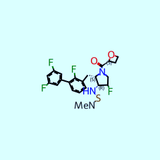 CNSN[C@H]1C(F)CN(C(=O)[C@@H]2CCO2)[C@H]1Cc1cccc(-c2cc(F)cc(F)c2)c1F